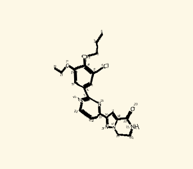 CCCOc1c(Cl)cc(-c2nccc(-c3cc4n(n3)CCNC4=O)n2)cc1OCC